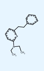 CCN(CC)c1cccc(CCc2c[c]ccc2)n1